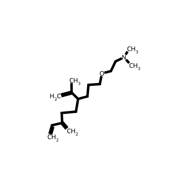 C=CC(=C)CCC(CCCOCCN(C)C)C(=C)C